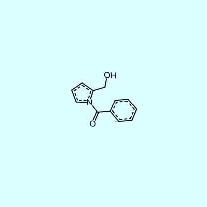 O=C(c1[c]cccc1)n1cccc1CO